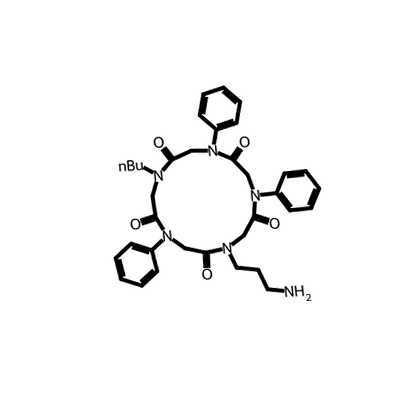 CCCCN1CC(=O)N(c2ccccc2)CC(=O)N(CCCN)CC(=O)N(c2ccccc2)CC(=O)N(c2ccccc2)CC1=O